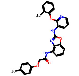 CC(C)(C)c1ccc(OCC(=O)Nc2cccc3oc(Nc4cccnc4Oc4ccccc4C(C)(C)C)nc23)cc1